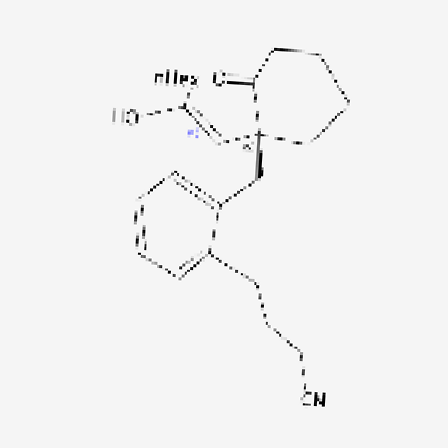 CCCCCC/C(O)=C\[C@@]1(Cc2ccccc2CCCC#N)CCCCC1=O